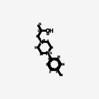 Cc1ccc(N2CCN(CC(C)O)CC2)cc1